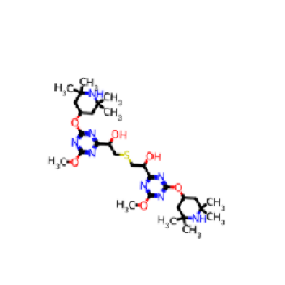 COc1nc(OC2CC(C)(C)NC(C)(C)C2)nc(C(O)CSCC(O)c2nc(OC)nc(OC3CC(C)(C)NC(C)(C)C3)n2)n1